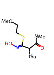 CNC(=O)C(C(=NO)SCCOC)C(C)(C)C